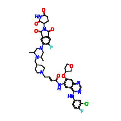 CC1CN(c2cc3c(cc2F)C(=O)N(C2CCC(=O)NC2=O)C3=O)CC(C)N1CC1CCN(C/C=C/C(=O)Nc2cc3c(Nc4ccc(F)c(Cl)c4)ncnc3cc2OC2CCOC2)CC1